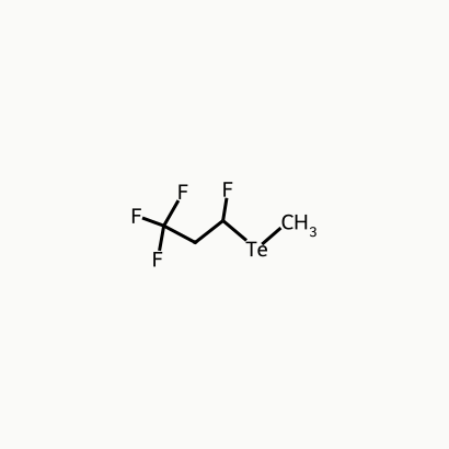 C[Te]C(F)CC(F)(F)F